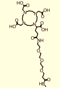 CBC(=O)CCOCCOCCOCCNC(=O)CCC(C(=O)O)N1CCN(CC(=O)O)CCN(CC(=O)O)CCN(CC(=O)O)CC1